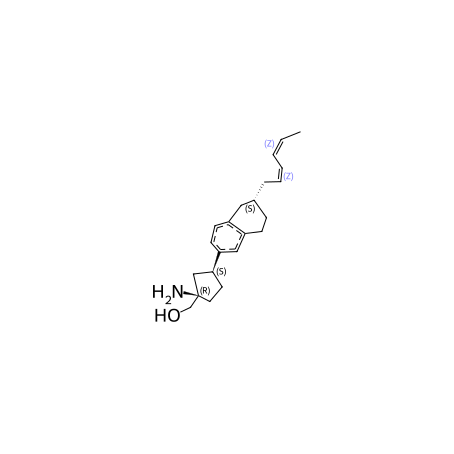 C/C=C\C=C/C[C@@H]1CCc2cc([C@H]3CC[C@](N)(CO)C3)ccc2C1